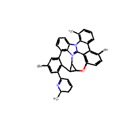 Cc1cccc2c3c(C(C)(C)C)ccc4c3c3n(c5cccc6c5[n+]3C3C(O4)C3c3c(C4=NC(C)CC=C4)cc(C(C)(C)C)cc3-6)c12